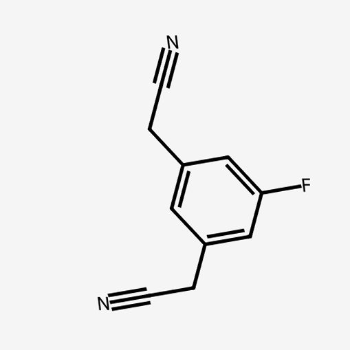 N#CCc1cc(F)cc(CC#N)c1